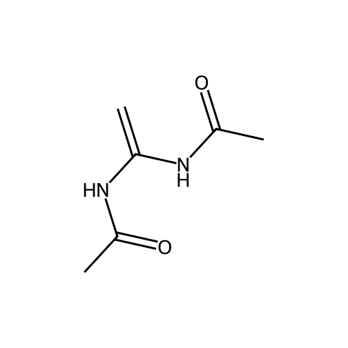 C=C(NC(C)=O)NC(C)=O